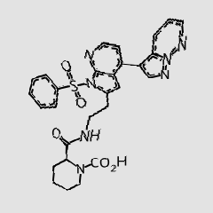 O=C(NCCc1cc2c(-c3cnn4ncccc34)ccnc2n1S(=O)(=O)c1ccccc1)[C@@H]1CCCCN1C(=O)O